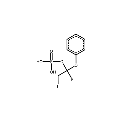 O=P(O)(O)OC(F)(CF)Oc1ccccc1